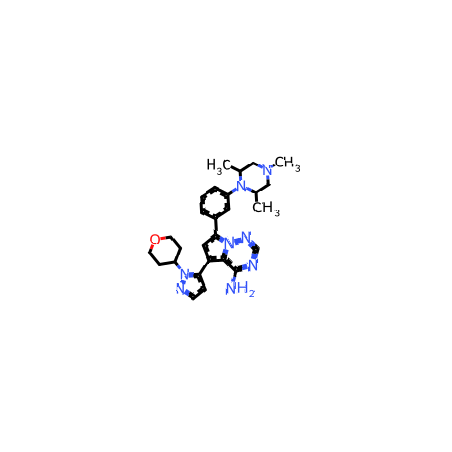 CC1CN(C)CC(C)N1c1cccc(-c2cc(-c3ccnn3C3CCOCC3)c3c(N)ncnn23)c1